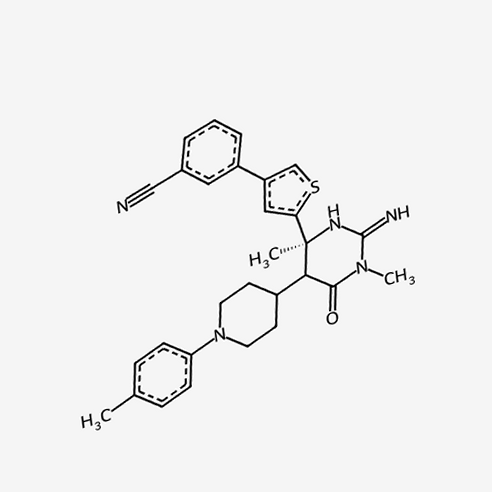 Cc1ccc(N2CCC(C3C(=O)N(C)C(=N)N[C@]3(C)c3cc(-c4cccc(C#N)c4)cs3)CC2)cc1